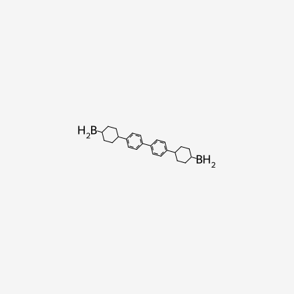 BC1CCC(c2ccc(-c3ccc(C4CCC(B)CC4)cc3)cc2)CC1